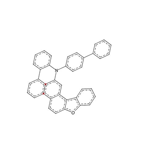 c1ccc(-c2ccc(N(c3ccc4ccc5oc6ccccc6c5c4c3)c3ccccc3-c3ccccc3)cc2)cc1